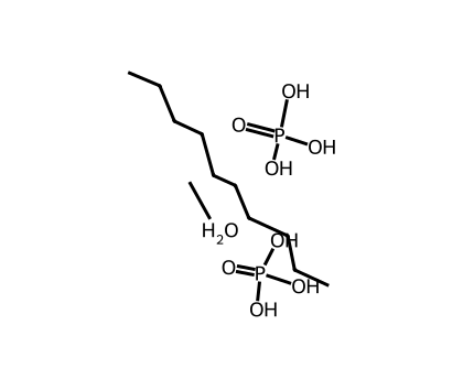 CC.CCCCCCCCCC.O.O=P(O)(O)O.O=P(O)(O)O